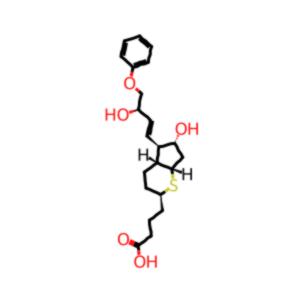 O=C(O)CCC[C@H]1CC[C@@H]2[C@@H](C=C[C@@H](O)COc3ccccc3)[C@H](O)C[C@@H]2S1